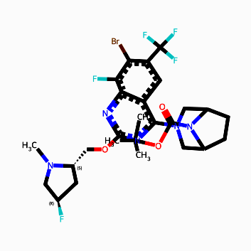 CN1C[C@H](F)C[C@H]1COc1nc(N2CC3CCC(C2)N3C(=O)OC(C)(C)C)c2cc(C(F)(F)F)c(Br)c(F)c2n1